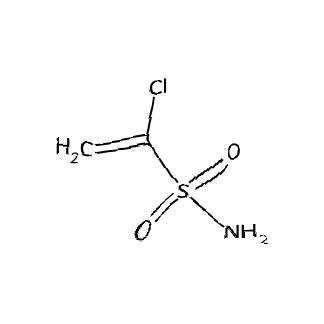 C=C(Cl)S(N)(=O)=O